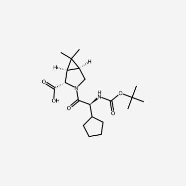 CC(C)(C)OC(=O)N[C@H](C(=O)N1C[C@H]2[C@@H]([C@H]1C(=O)O)C2(C)C)C1CCCC1